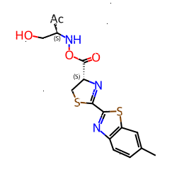 CC(=O)[C@H](CO)NOC(=O)[C@H]1CSC(c2nc3ccc(C)cc3s2)=N1